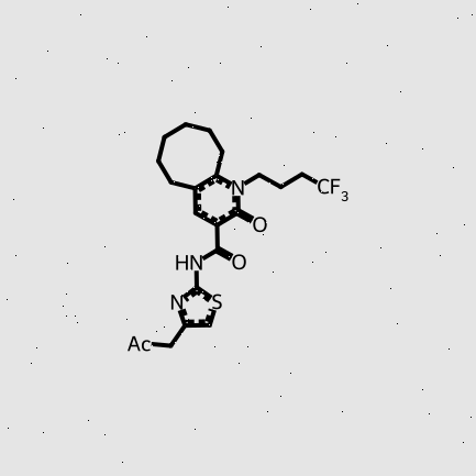 CC(=O)Cc1csc(NC(=O)c2cc3c(n(CCCC(F)(F)F)c2=O)CCCCCC3)n1